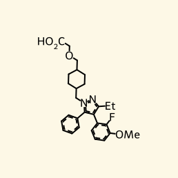 CCc1nn(CC2CCC(COCC(=O)O)CC2)c(-c2ccccc2)c1-c1cccc(OC)c1F